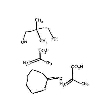 C=C(C)C(=O)O.C=C(C)C(=O)O.CC(C)(CO)CO.O=C1CCCCCO1